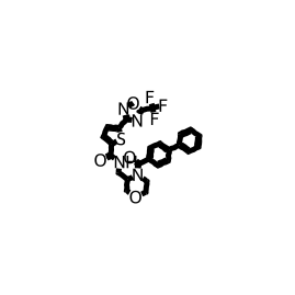 O=C(NCC1COCCN1C(=O)c1ccc(-c2ccccc2)cc1)c1ccc(-c2noc(C(F)(F)F)n2)s1